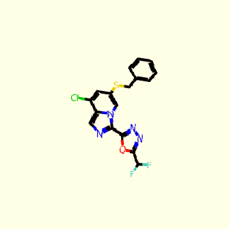 FC(F)c1nnc(-c2ncc3c(Cl)cc(SCc4ccccc4)cn23)o1